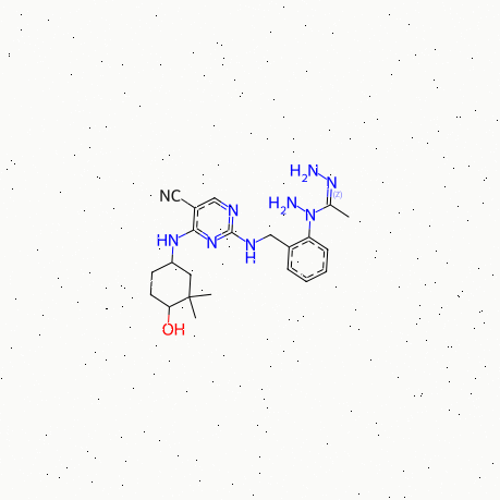 C/C(=N/N)N(N)c1ccccc1CNc1ncc(C#N)c(NC2CCC(O)C(C)(C)C2)n1